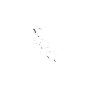 C#C[C@]1(OC(=O)CCCCC)CC[C@H]2[C@@H]3CCC4=CC(=O)CC[C@@H]4[C@H]3CC[C@@]21CC